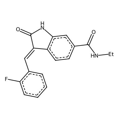 CCNC(=O)c1ccc2c(c1)NC(=O)/C2=C/c1ccccc1F